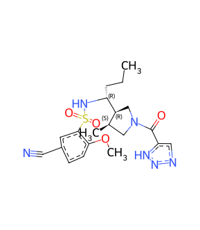 CCC[C@@H](NS(=O)(=O)c1cc(C#N)ccc1OC)[C@H]1CN(C(=O)c2cnn[nH]2)C[C@H]1C